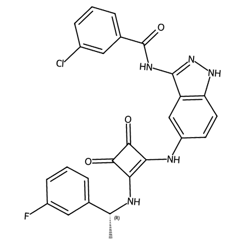 C[C@@H](Nc1c(Nc2ccc3[nH]nc(NC(=O)c4cccc(Cl)c4)c3c2)c(=O)c1=O)c1cccc(F)c1